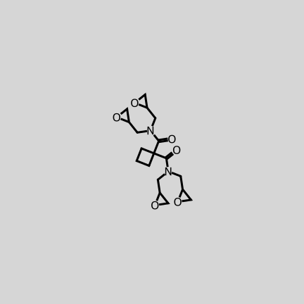 O=C(N(CC1CO1)CC1CO1)C1(C(=O)N(CC2CO2)CC2CO2)CCC1